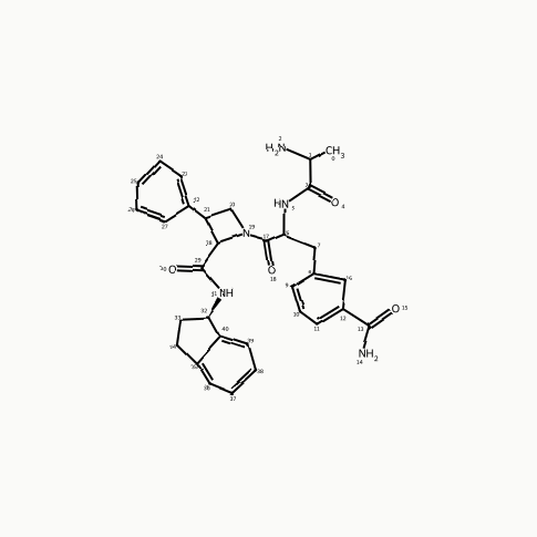 CC(N)C(=O)NC(Cc1cccc(C(N)=O)c1)C(=O)N1CC(c2ccccc2)C1C(=O)N[C@@H]1CCc2ccccc21